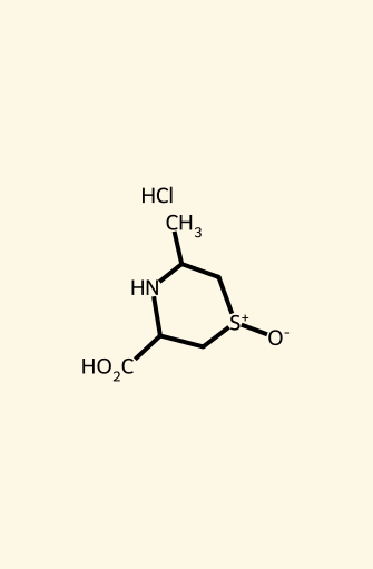 CC1C[S+]([O-])CC(C(=O)O)N1.Cl